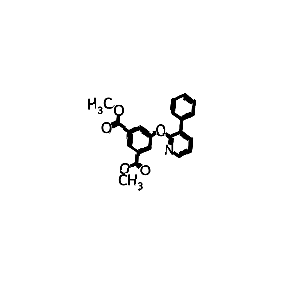 COC(=O)c1cc(Oc2ncccc2-c2ccccc2)cc(C(=O)OC)c1